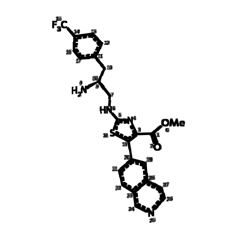 COC(=O)c1nc(NC[C@@H](N)Cc2ccc(C(F)(F)F)cc2)sc1-c1ccc2cnccc2c1